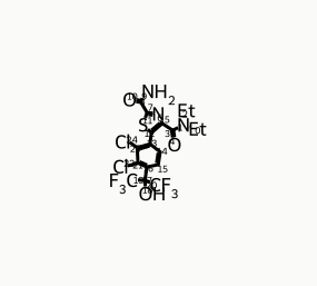 CCN(CC)C(=O)c1nc(C(N)=O)sc1-c1ccc(C(O)(C(F)(F)F)C(F)(F)F)c(Cl)c1Cl